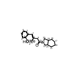 COc1ccccc1/C=C(/CC(=O)N1CC2CCCCC2C1)C(=O)O